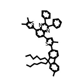 CCCCCCC1(CCCCCC)c2cc(C)ccc2-c2ccc(-c3sc(-c4ccc(-c5cc(C)c(C)s5)c5nc(-c6ccccc6)c(-c6ccccc6)nc45)cc3C)cc21